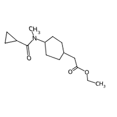 CCOC(=O)CC1CCC(N(C)C(=O)C2CC2)CC1